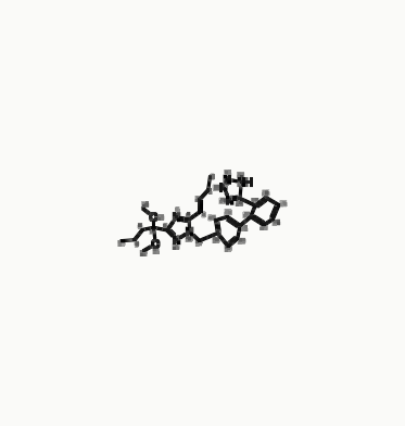 CCC=Cc1nc(C(CCC)(OC)OC)nn1Cc1ccc(-c2ccccc2-c2nnn[nH]2)cc1